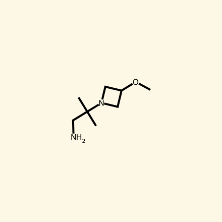 COC1CN(C(C)(C)CN)C1